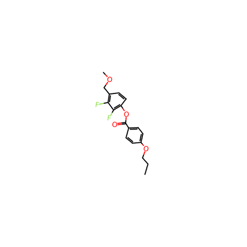 CCCOc1ccc(C(=O)Oc2ccc(COC)c(F)c2F)cc1